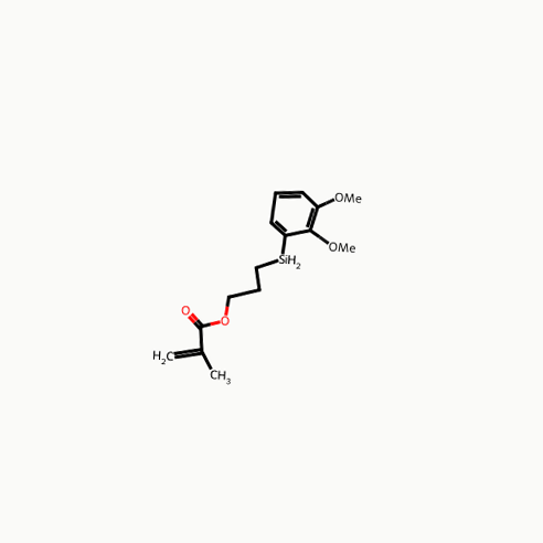 C=C(C)C(=O)OCCC[SiH2]c1cccc(OC)c1OC